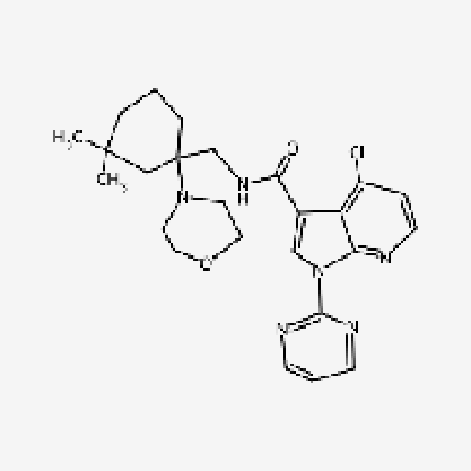 CC1(C)CCCC(CNC(=O)c2cn(-c3ncccn3)c3nccc(Cl)c23)(N2CCOCC2)C1